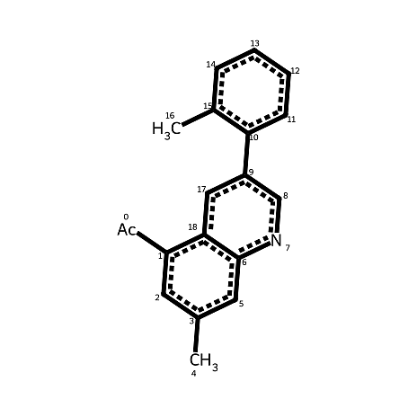 CC(=O)c1cc(C)cc2ncc(-c3ccccc3C)cc12